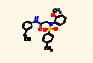 C#Cc1cccc(NC(=O)CN(c2ccccc2OC)S(=O)(=O)c2ccc(C)cc2)c1